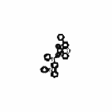 c1ccc(-c2ccc3c(c2)C2(c4ccccc4O3)c3ccccc3-c3cc(N(c4ccccc4)c4ccc5c6ccccc6n(-c6ccccc6)c5c4)ccc32)cc1